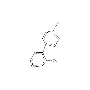 Cc1c[c]c(-c2ccccc2C#N)cc1